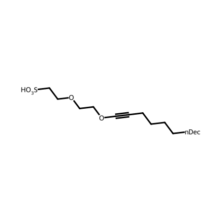 CCCCCCCCCCCCCCC#COCCOCCS(=O)(=O)O